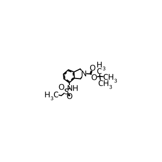 CCS(=O)(=O)Nc1cccc2c1CN(C(=O)OC(C)(C)C)C2